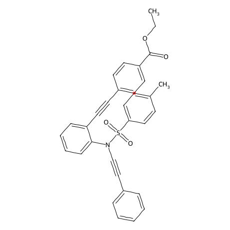 CCOC(=O)c1ccc(C#Cc2ccccc2N(C#Cc2ccccc2)S(=O)(=O)c2ccc(C)cc2)cc1